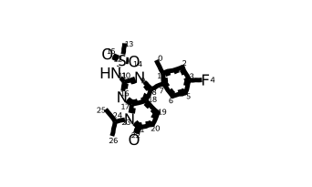 Cc1cc(F)ccc1-c1nc(NS(C)(=O)=O)nc2c1ccc(=O)n2C(C)C